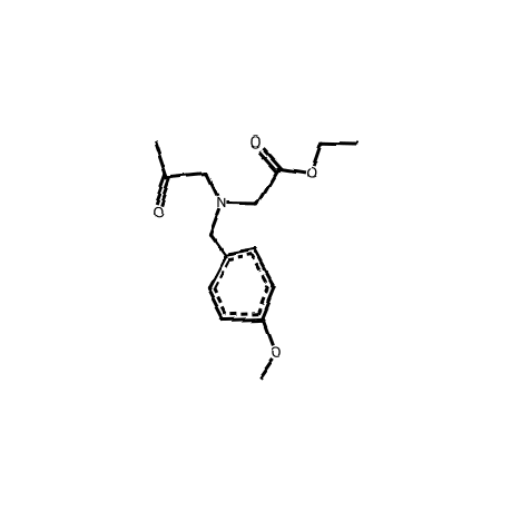 CCOC(=O)CN(CC(C)=O)Cc1ccc(OC)cc1